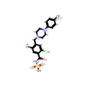 CCS(=O)(=O)NC(=O)c1cc(Cl)c(CN2CCN(c3ccc(C(F)(F)F)cc3)CC2)cc1F